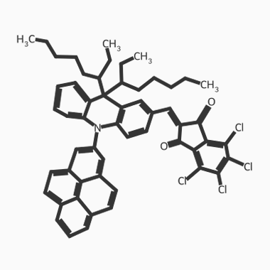 CCCCCC(CC)C1(C(CC)CCCCC)c2ccccc2N(c2cc3ccc4cccc5ccc(c2)c3c45)c2ccc(C=C3C(=O)c4c(Cl)c(Cl)c(Cl)c(Cl)c4C3=O)cc21